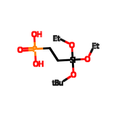 CCO[Si](CCP(=O)(O)O)(OCC)OC(C)(C)C